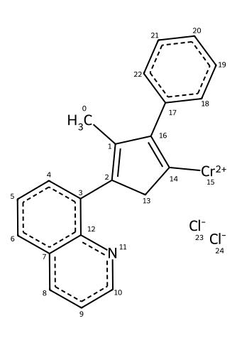 CC1=C(c2cccc3cccnc23)C[C]([Cr+2])=C1c1ccccc1.[Cl-].[Cl-]